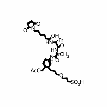 CC(=O)OCc1ccc(NC(=O)[C@H](C)NC(=O)[C@@H](NC(O)CCCCCN2C(=O)C=CC2=O)C(C)C)cc1CCCOCCCS(=O)(=O)O